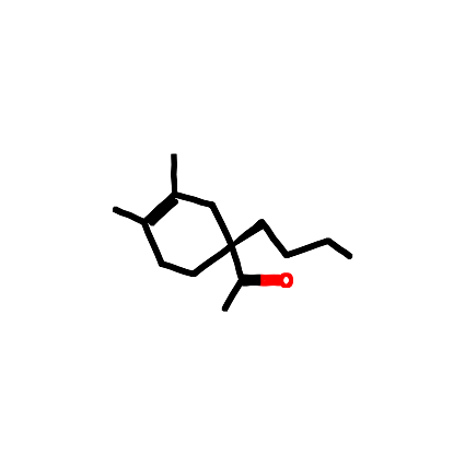 CCCC[C@@]1(C(C)=O)CCC(C)=C(C)C1